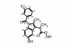 CCCOC(=O)[C@H](C)c1c(C)n(C(=O)c2cccc(F)c2)c2ccc(O)cc12